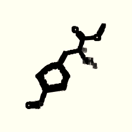 COC(=O)[C@@H](N)Cc1ccc(P=O)cc1